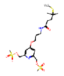 CSSC(C)(C)CCC(=O)NCCCOc1cc(COS(C)(=O)=O)nc(COS(C)(=O)=O)c1